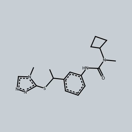 CC(Sc1nncn1C)c1cccc(NC(=O)N(C)C2CCC2)c1